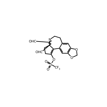 O=CC1=C(C=O)C23CCC(OS(=O)(=O)C(F)(F)F)=C2c2cc4c(cc2CCN3C1)OCO4